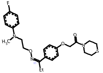 CC/C(=N/OCCN(C)c1ccc(F)cc1)c1ccc(OCC(=O)N2CCSCC2)cc1